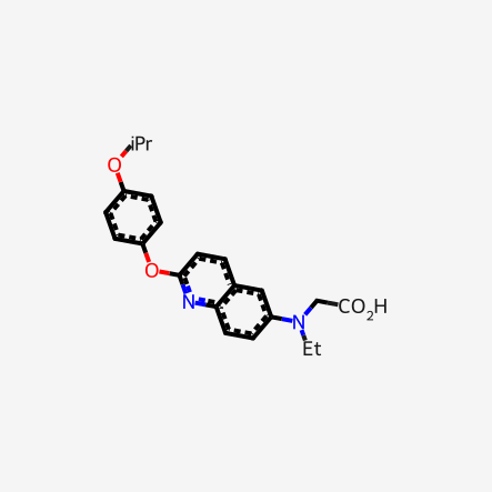 CCN(CC(=O)O)c1ccc2nc(Oc3ccc(OC(C)C)cc3)ccc2c1